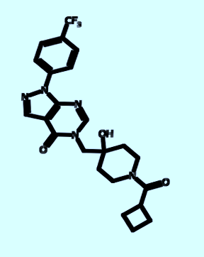 O=C(C1CCC1)N1CCC(O)(Cn2cnc3c(cnn3-c3ccc(C(F)(F)F)cc3)c2=O)CC1